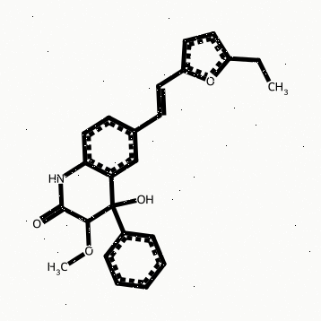 CCc1ccc(/C=C/c2ccc3c(c2)C(O)(c2ccccc2)C(OC)C(=O)N3)o1